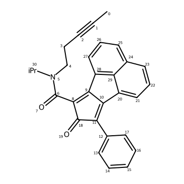 CC#CCCN(C(=O)C1=C2C(=C(c3ccccc3)C1=O)c1cccc3cccc2c13)C(C)C